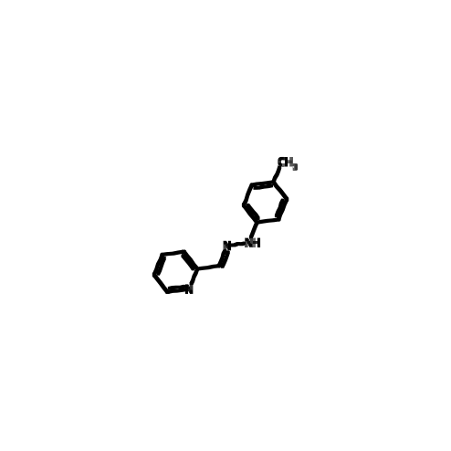 Cc1ccc(NN=Cc2ccccn2)cc1